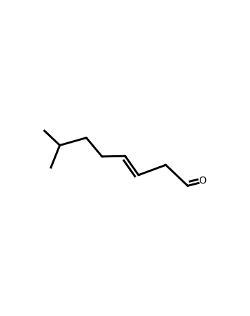 CC(C)CCC=CCC=O